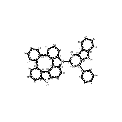 c1ccc(-c2nc(-n3c4cccc5c6ccccc6c6cccc7oc8ccc3c(c8c76)c54)nc3c2sc2ccccc23)cc1